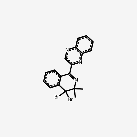 CC1(C)N=C(c2cnc3ccccc3n2)c2ccccc2C1(Br)Br